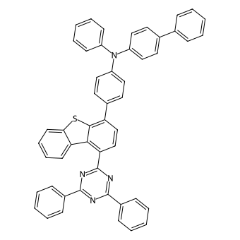 c1ccc(-c2ccc(N(c3ccccc3)c3ccc(-c4ccc(-c5nc(-c6ccccc6)nc(-c6ccccc6)n5)c5c4sc4ccccc45)cc3)cc2)cc1